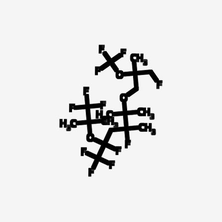 CC(CF)(COC(C)(C)C(C)(F)CC(F)(OC(C)(C)C(F)(F)F)C(F)(F)F)OC(F)(F)F